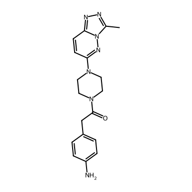 Cc1nnc2ccc(N3CCN(C(=O)Cc4ccc(N)cc4)CC3)nn12